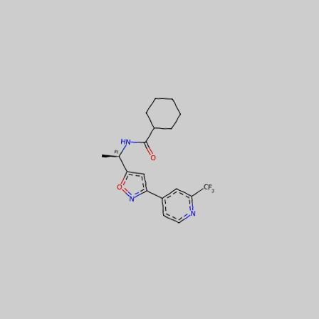 C[C@@H](NC(=O)C1CCCCC1)c1cc(-c2ccnc(C(F)(F)F)c2)no1